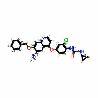 [C-]#[N+]c1cc2c(Oc3ccc(NC(=O)NC4CC4)c(Cl)c3)ccnc2cc1OCc1ccccc1